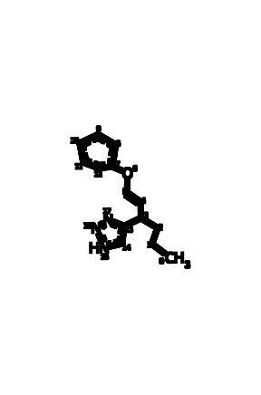 CCCC(/C=C/Oc1ccccc1)c1c[nH]nn1